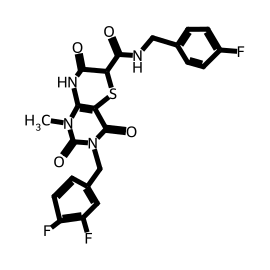 Cn1c2c(c(=O)n(Cc3ccc(F)c(F)c3)c1=O)SC(C(=O)NCc1ccc(F)cc1)C(=O)N2